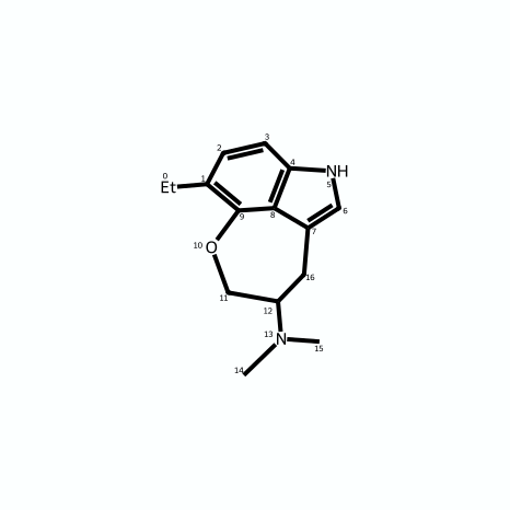 CCc1ccc2[nH]cc3c2c1OCC(N(C)C)C3